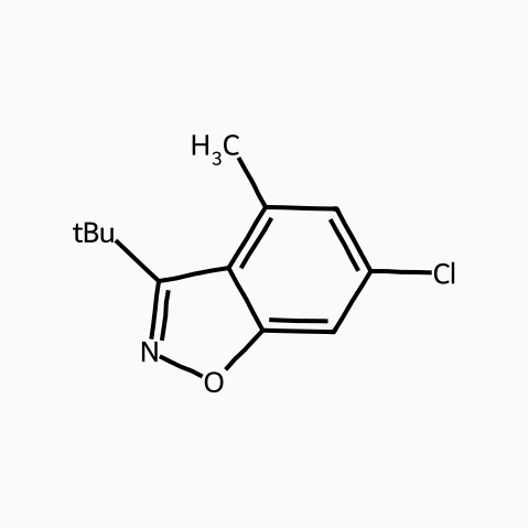 Cc1cc(Cl)cc2onc(C(C)(C)C)c12